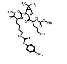 COC(=O)C(CCCCNC(=O)Oc1ccc([N+](=O)[O-])cc1)NC(=O)[C@@H]1C2C(CN1C(=O)[C@H](CCCO)NC(=O)OC(C)(C)C)C2(C)C